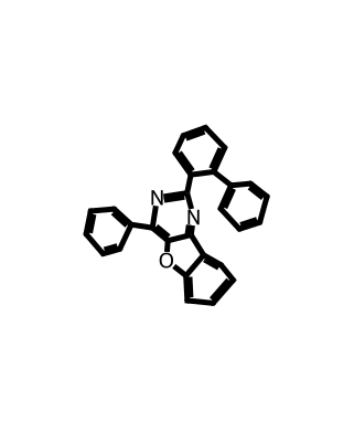 c1ccc(-c2ccccc2-c2nc(-c3ccccc3)c3oc4ccccc4c3n2)cc1